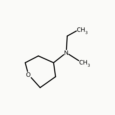 CCN(C)C1CCOCC1